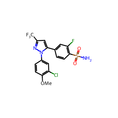 COc1ccc(-n2nc(C(F)(F)F)cc2-c2ccc(S(N)(=O)=O)c(F)c2)cc1Cl